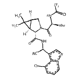 CC(C)(C)[C@H](NC(=O)C(F)(F)F)C(=O)N1C[C@H]2[C@@H]([C@H]1C(=O)NC(C#N)c1cnn3cccc(Cl)c13)C2(C)C